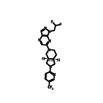 FC(F)Cn1ncc2ncc(N3CC[C@H]4CN(c5ccc(C(F)(F)F)cn5)C[C@H]4C3)nc21